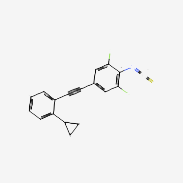 Fc1cc(C#Cc2ccccc2C2CC2)cc(F)c1N=C=S